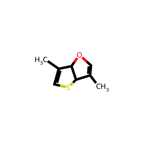 CC1=CSC2C(C)=COC12